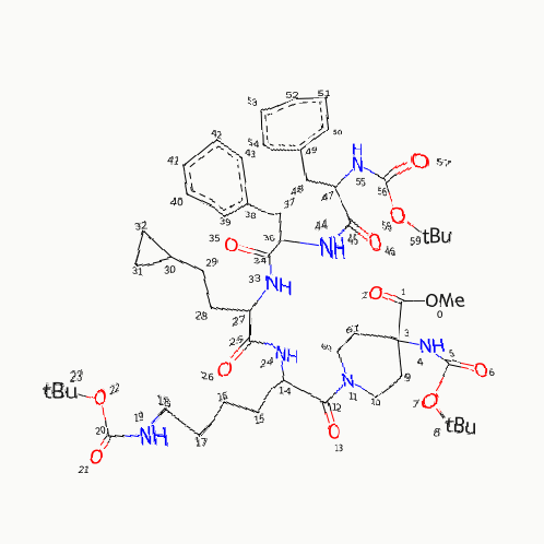 COC(=O)C1(NC(=O)OC(C)(C)C)CCN(C(=O)C(CCCCNC(=O)OC(C)(C)C)NC(=O)C(CCC2CC2)NC(=O)C(Cc2ccccc2)NC(=O)C(Cc2ccccc2)NC(=O)OC(C)(C)C)CC1